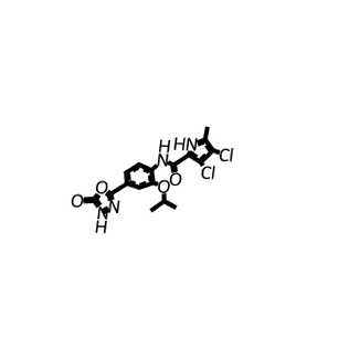 Cc1[nH]c(C(=O)Nc2ccc(-c3n[nH]c(=O)o3)cc2OC(C)C)c(Cl)c1Cl